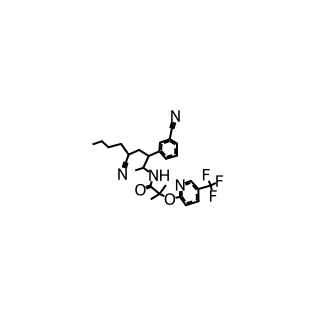 CCCCC(C#N)CC(c1cccc(C#N)c1)C(C)NC(=O)C(C)(C)Oc1ccc(C(F)(F)F)cn1